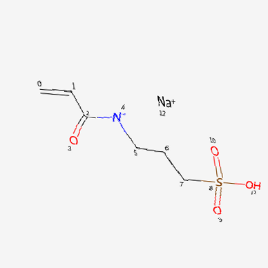 C=CC(=O)[N-]CCCS(=O)(=O)O.[Na+]